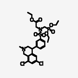 CCOC(=O)CN(CP(=O)(OCC)OCC)S(=O)(=O)c1cccc(C2CN(C)Cc3c(Cl)cc(Cl)cc32)c1